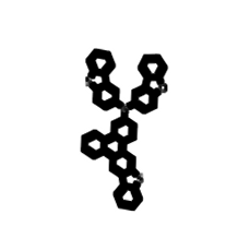 c1ccc2c(c1)oc1ccc(N(c3ccc4sc5ccccc5c4c3)c3ccc4c(c3)c3ccccc3c3cc5c(cc43)sc3ccccc35)cc12